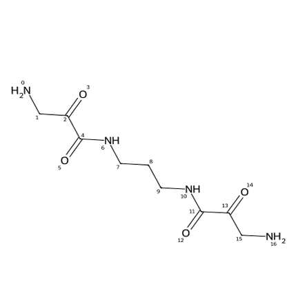 NCC(=O)C(=O)NCCCNC(=O)C(=O)CN